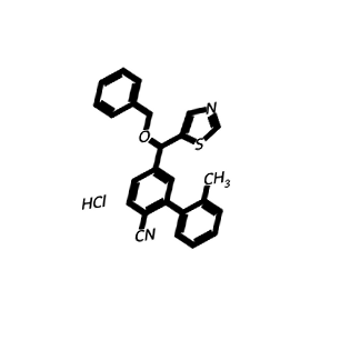 Cc1ccccc1-c1cc(C(OCc2ccccc2)c2cncs2)ccc1C#N.Cl